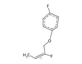 C/C=C(/F)COc1ccc(F)cc1